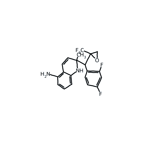 CC1(C(c2ccc(F)cc2F)C2(C(F)(F)F)CO2)C=Cc2c(N)cccc2N1